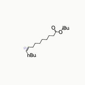 CCCC/C=C\CCCCCCCC(=O)OC(C)CC